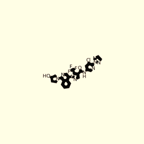 O=C(Nc1cnc(-n2nccn2)c(Cl)c1)c1cnn(-c2cnc(N3CCC(O)C3)c3ccccc23)c1C(F)(F)F